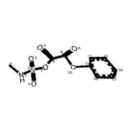 CNS(=O)(=O)OC(=O)C(=O)Oc1ccccc1